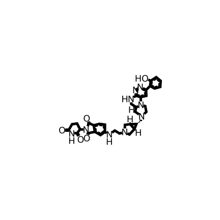 O=C1CCC(N2C(=O)c3ccc(NCCN4C[C@@H]5[C@H](C4)[C@H]5CN4CCN5c6cc(-c7ccccc7O)nnc6NC[C@H]5C4)cc3C2=O)C(=O)N1